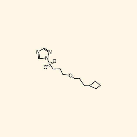 O=S(=O)(CCCOCCCC1CCC1)n1cncn1